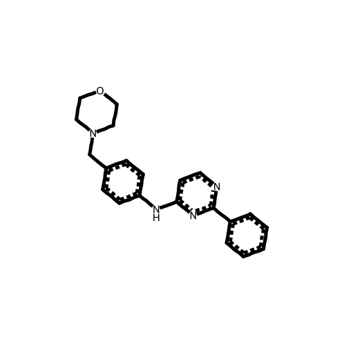 c1ccc(-c2nccc(Nc3ccc(CN4CCOCC4)cc3)n2)cc1